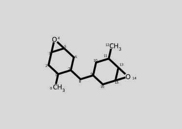 CC1CC2OC2CC1CC1CC(C)C2OC2C1